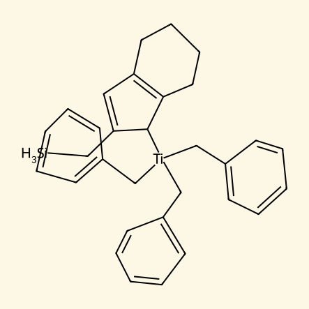 [SiH3]CC1=CC2=C(CCCC2)[CH]1[Ti]([CH2]c1ccccc1)([CH2]c1ccccc1)[CH2]c1ccccc1